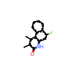 Cc1c(C)c2c(cc(F)c3ccccc32)[nH]c1=O